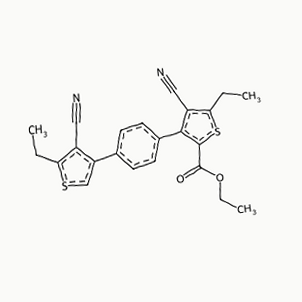 CCOC(=O)c1sc(CC)c(C#N)c1-c1ccc(-c2csc(CC)c2C#N)cc1